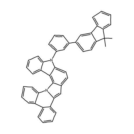 CC1(C)c2ccccc2-c2cc(-c3cccc(-n4c5ccccc5c5c4ccc4cc6c7ccccc7c7ccccc7n6c45)c3)ccc21